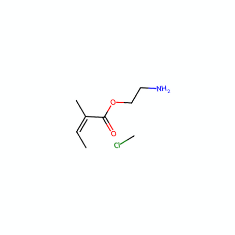 CC=C(C)C(=O)OCCN.CCl